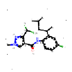 CC(C)CC(C)c1cc(F)ccc1NC(=O)c1cn(C)nc1C(F)F